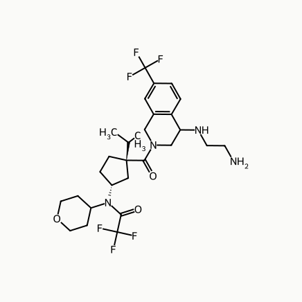 CC(C)[C@]1(C(=O)N2Cc3cc(C(F)(F)F)ccc3C(NCCN)C2)CC[C@@H](N(C(=O)C(F)(F)F)C2CCOCC2)C1